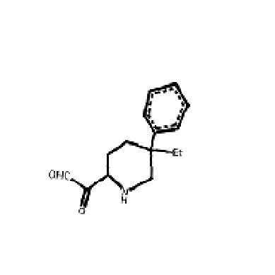 CCC1(c2ccccc2)CCC(C(=O)C=O)NC1